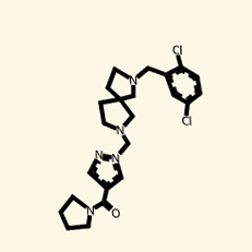 O=C(c1cnn(CN2CCC3(CCN(Cc4cc(Cl)ccc4Cl)C3)C2)c1)N1CCCC1